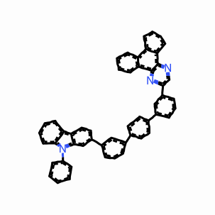 c1ccc(-n2c3ccccc3c3ccc(-c4cccc(-c5ccc(-c6cccc(-c7cnc8c9ccccc9c9ccccc9c8n7)c6)cc5)c4)cc32)cc1